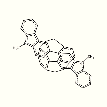 Cn1c2ccccc2c2cc(-c3cc4ccc3CCc3ccc(c(-c5ccc6c(c5)c5ccccc5n6C)c3)CC4)ccc21